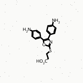 Nc1ccc(-c2nc(SCCC(=O)O)oc2-c2ccc(N)cc2)cc1